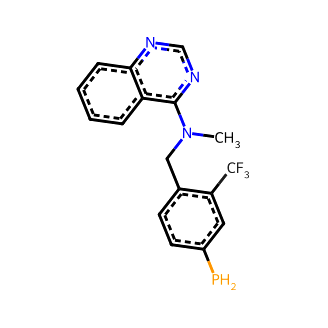 CN(Cc1ccc(P)cc1C(F)(F)F)c1ncnc2ccccc12